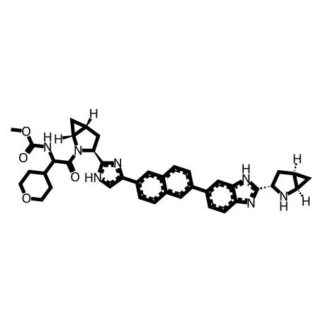 COC(=O)NC(C(=O)N1[C@@H]2C[C@@H]2C[C@H]1c1nc(-c2ccc3cc(-c4ccc5nc([C@@H]6C[C@H]7C[C@H]7N6)[nH]c5c4)ccc3c2)c[nH]1)C1CCOCC1